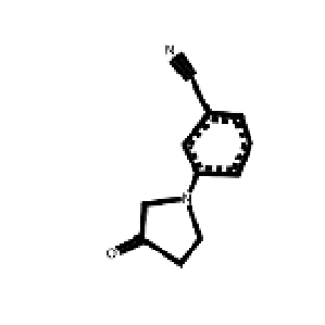 N#Cc1cccc(N2CCC(=O)C2)c1